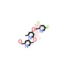 BC(B)(Oc1cc(C)n(-c2cc(C=O)ncc2C)c(=O)c1)c1ncc(F)cc1F